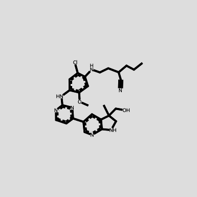 CCCC(C#N)CCNc1cc(OC)c(Nc2nccc(-c3cnc4c(c3)C(C)(CO)CN4)n2)cc1Cl